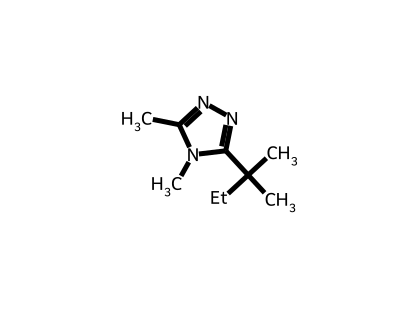 CCC(C)(C)c1nnc(C)n1C